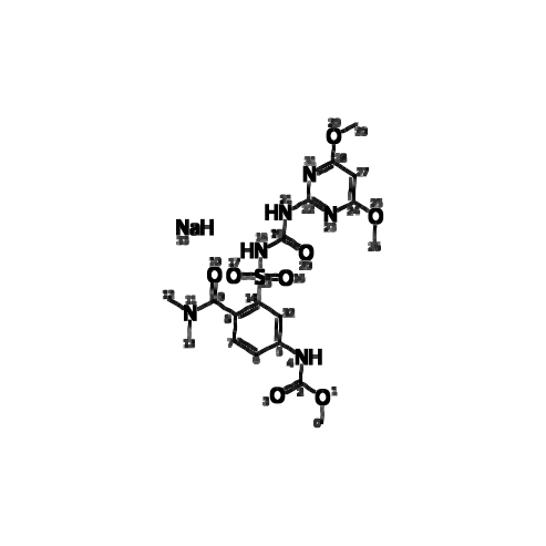 COC(=O)Nc1ccc(C(=O)N(C)C)c(S(=O)(=O)NC(=O)Nc2nc(OC)cc(OC)n2)c1.[NaH]